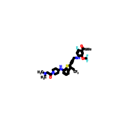 CNC(=O)c1cc(OC(F)F)c(NCC#Cc2sc3c(NC4CCN(C(=O)CN(C)C)CC4)cccc3c2CC(F)(F)F)cc1F